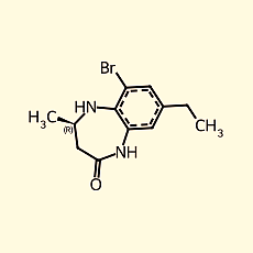 CCc1cc(Br)c2c(c1)NC(=O)C[C@@H](C)N2